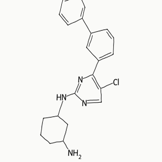 NC1CCCC(Nc2ncc(Cl)c(-c3cccc(-c4ccccc4)c3)n2)C1